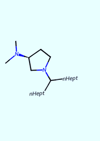 CCCCCCCC(CCCCCCC)N1CC[C@H](N(C)C)C1